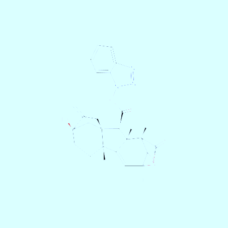 C=C1C[C@]23C[C@]1(O)CC[C@H]2C1=C[C@@H]2OC(=O)[C@@](C)([C@H]1[C@@H]3C(=O)On1nnc3ccccc31)[C@H]2O